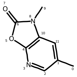 Cc1cnc2oc(=O)n(C)c2c1